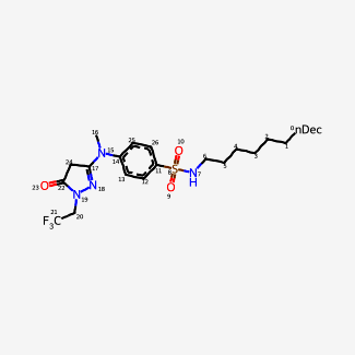 CCCCCCCCCCCCCCCCNS(=O)(=O)c1ccc(N(C)C2=NN(CC(F)(F)F)C(=O)C2)cc1